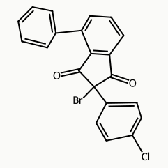 O=C1c2cccc(-c3ccccc3)c2C(=O)C1(Br)c1ccc(Cl)cc1